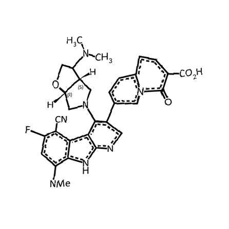 CNc1cc(F)c(C#N)c2c1[nH]c1ncc(-c3ccc4ccc(C(=O)O)c(=O)n4c3)c(N3C[C@@H]4OCC(N(C)C)[C@@H]4C3)c12